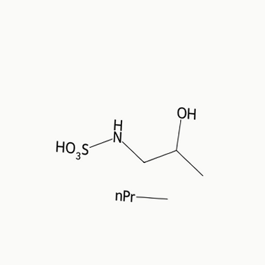 CC(O)CNS(=O)(=O)O.CCCC